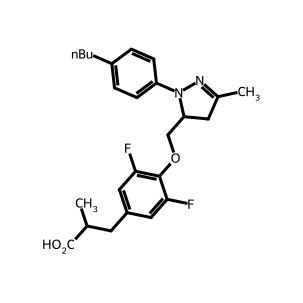 CCCCc1ccc(N2N=C(C)CC2COc2c(F)cc(CC(C)C(=O)O)cc2F)cc1